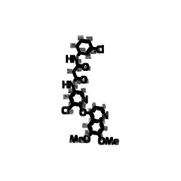 COc1cc2nccc(Oc3ncc(NC(=O)CC(=O)NC4C=C(Cl)C=CC4)cc3Cl)c2cc1OC